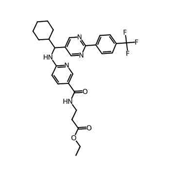 CCOC(=O)CCNC(=O)c1ccc(NC(c2cnc(-c3ccc(C(F)(F)F)cc3)nc2)C2CCCCC2)nc1